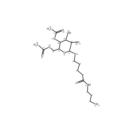 CCCCNC(=O)CCCCOC1OC(COC(C)=O)C(OC(C)=O)C(O)C1N